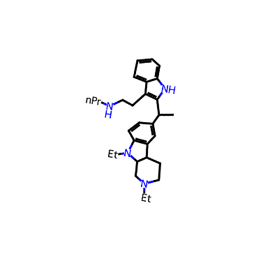 CCCNCCc1c(C(C)c2ccc3c(c2)C2CCN(CC)CC2N3CC)[nH]c2ccccc12